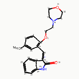 COc1ccc(OCCN2CCOCC2)c(/C=C2/C(=O)Nc3ccccc32)c1